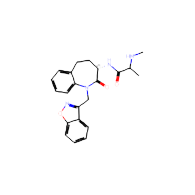 CNC(C)C(=O)N[C@H]1CCc2ccccc2N(Cc2noc3ccccc23)C1=O